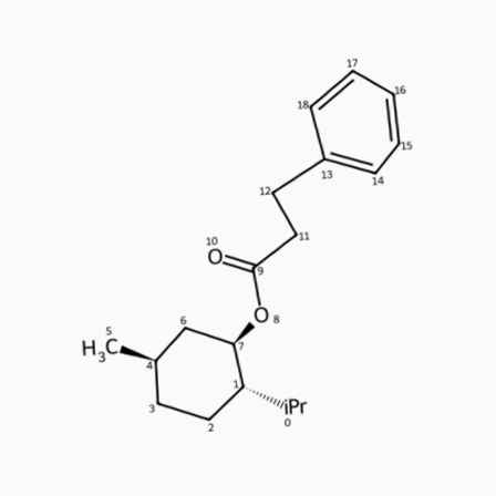 CC(C)[C@@H]1CC[C@@H](C)C[C@H]1OC(=O)CCc1ccccc1